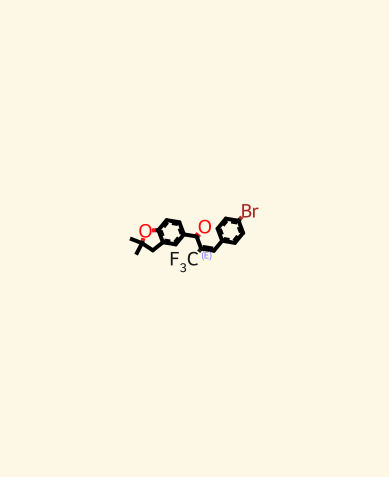 CC1(C)Cc2cc(C(=O)/C(=C\c3ccc(Br)cc3)C(F)(F)F)ccc2O1